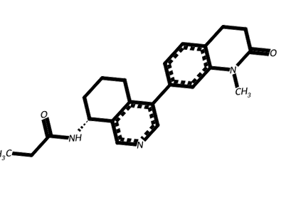 CCC(=O)N[C@@H]1CCCc2c(-c3ccc4c(c3)N(C)C(=O)CC4)cncc21